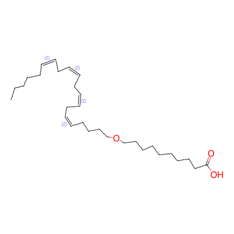 CCCCC/C=C\C/C=C\C/C=C\C/C=C\CCCCOCCCCCCCCCC(=O)O